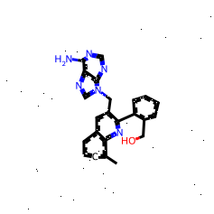 Cc1cccc2cc(Cn3cnc4c(N)ncnc43)c(-c3ccccc3CO)nc12